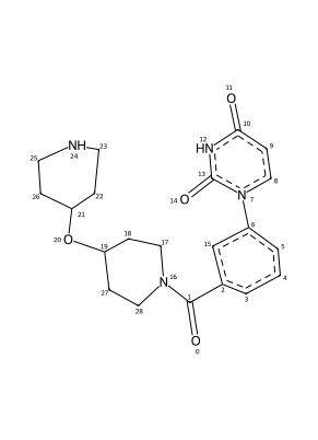 O=C(c1cccc(-n2ccc(=O)[nH]c2=O)c1)N1CCC(OC2CCNCC2)CC1